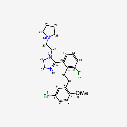 COc1ccc(Br)cc1CCc1c(F)cccc1C1=NCCN1CCN1CCCC1